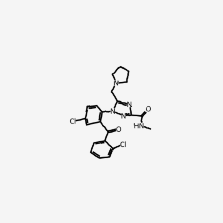 CNC(=O)c1nc(CN2CCCC2)n(-c2ccc(Cl)cc2C(=O)c2ccccc2Cl)n1